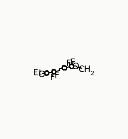 C=CCOc1ccc(-c2ccc(/C=C/c3ccc(-c4ccc(OCC)cc4)c(F)c3F)cc2)c(F)c1F